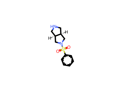 O=S(=O)(c1ccccc1)N1C[C@H]2CNC[C@H]2C1